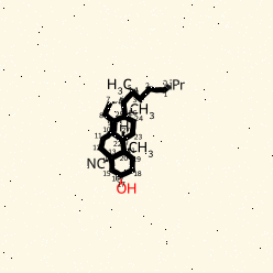 CC(C)CCC[C@@H](C)[C@H]1CCC2=C3CC[C@]4(C#N)C[C@@H](O)CC[C@]4(C)[C@H]3CC[C@@]21C